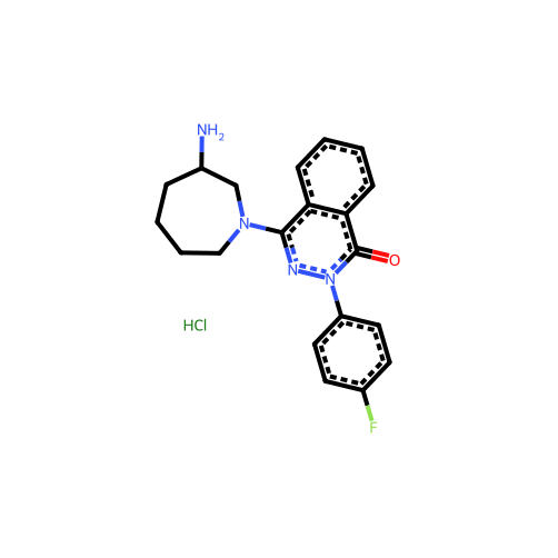 Cl.NC1CCCCN(c2nn(-c3ccc(F)cc3)c(=O)c3ccccc23)C1